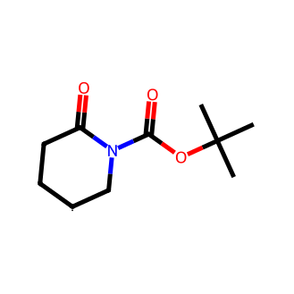 CC(C)(C)OC(=O)N1C[CH]CCC1=O